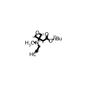 C#CCN(C)C1(CC(=O)OCCCC)COC1